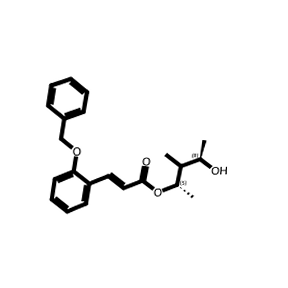 CC([C@H](C)OC(=O)C=Cc1ccccc1OCc1ccccc1)[C@@H](C)O